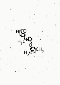 Cc1cc(OCC2CCCN(C(C)c3cnc4c(c3)OCCN4)C2)cc(C)n1